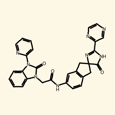 O=C(Cn1c(=O)n(-c2ccccn2)c2ccccc21)Nc1ccc2c(c1)CC1(C2)N=C(c2cnccn2)NC1=O